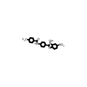 O=C(Nc1ccc(-c2nc3ccc([N+](=O)[O-])cc3n2O)cc1)c1ccc(C(F)(F)F)cc1